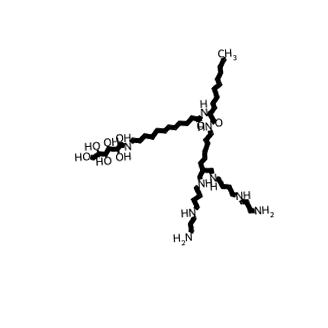 CCCCCCCCCCC(NC(=O)CCCCCCCCCCCNC(=O)[C@@H](O)[C@H](O)[C@@H](O)[C@H](O)CO)C(=O)NCCCCCCC(CNCCCCNCCCN)CNCCCCNCCCN